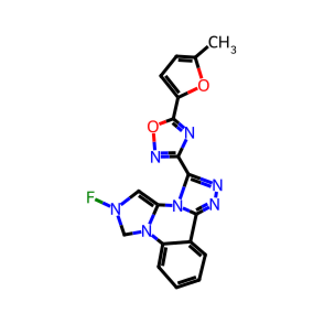 Cc1ccc(-c2nc(-c3nnc4n3C3=CN(F)CN3c3ccccc3-4)no2)o1